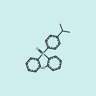 CC(C)c1ccc(P(=O)(c2ccccc2)c2ccccc2O)cc1